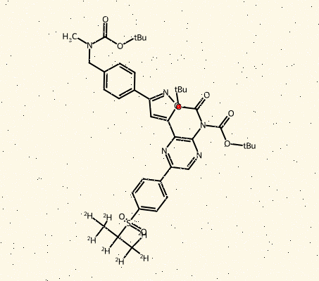 [2H]C([2H])([2H])C([2H])(C([2H])([2H])[2H])S(=O)(=O)c1ccc(-c2cnc(N(C(=O)OC(C)(C)C)C(=O)OC(C)(C)C)c(-c3cc(-c4ccc(CN(C)C(=O)OC(C)(C)C)cc4)no3)n2)cc1